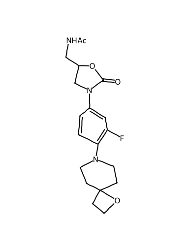 CC(=O)NCC1CN(c2ccc(N3CCC4(CCO4)CC3)c(F)c2)C(=O)O1